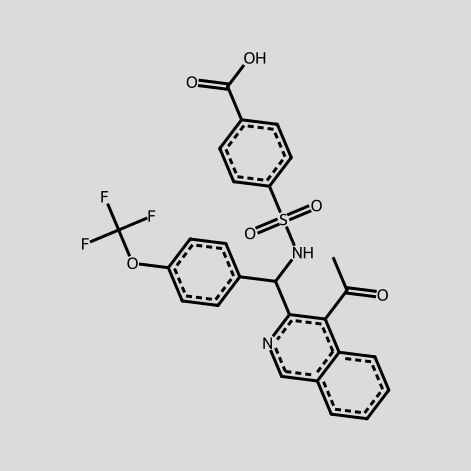 CC(=O)c1c(C(NS(=O)(=O)c2ccc(C(=O)O)cc2)c2ccc(OC(F)(F)F)cc2)ncc2ccccc12